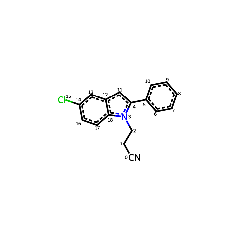 N#CCCn1c(-c2ccccc2)cc2cc(Cl)ccc21